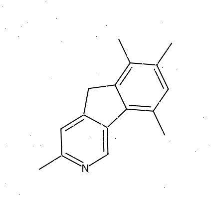 Cc1cc2c(cn1)-c1c(C)cc(C)c(C)c1C2